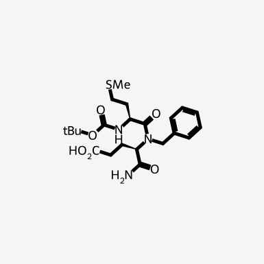 CSCC[C@H](NC(=O)OC(C)(C)C)C(=O)N(Cc1ccccc1)[C@H](CCC(=O)O)C(N)=O